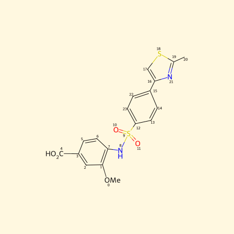 COc1cc(C(=O)O)ccc1NS(=O)(=O)c1ccc(-c2csc(C)n2)cc1